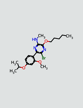 CCCCCOc1nc(Br)c(-c2ccc(OC(C)C)cc2OC)nc1NC